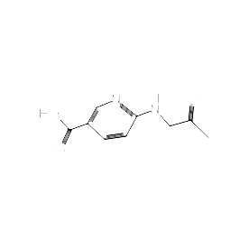 CC(=O)CNc1ccc(C(=O)O)cn1